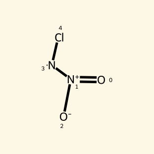 O=[N+]([O-])[N]Cl